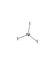 [I][Ni]([I])[I]